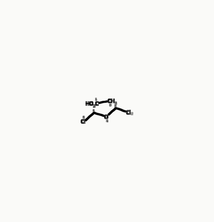 CC(=O)O.ClCOCCl